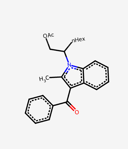 CCCCCCC(COC(C)=O)n1c(C)c(C(=O)c2ccccc2)c2ccccc21